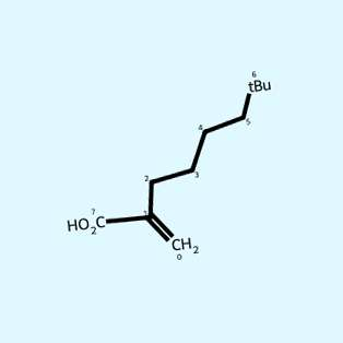 C=C(CCCCC(C)(C)C)C(=O)O